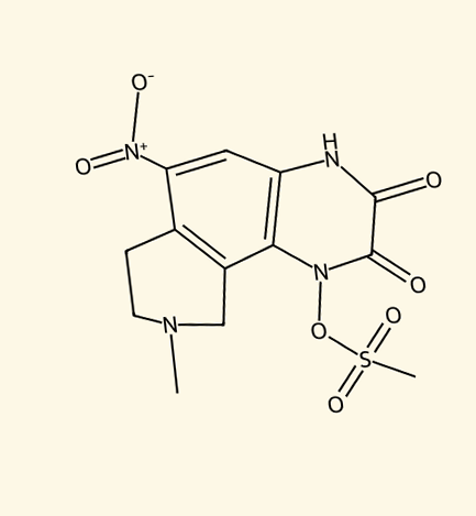 CN1CCc2c([N+](=O)[O-])cc3[nH]c(=O)c(=O)n(OS(C)(=O)=O)c3c2C1